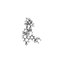 CN(C)c1ccc([C@H]2C[C@@]3(C)[C@@H](CC[C@@]3(O)C#CP(=O)(N3CCOC3=O)N3OCCC3=O)[C@@H]3CCC4=CC(=O)CCC4=C32)cc1